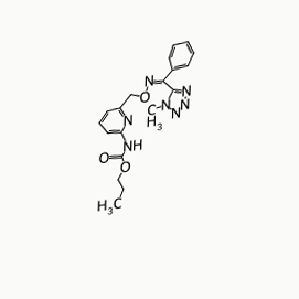 CCCOC(=O)Nc1cccc(CON=C(c2ccccc2)c2nnnn2C)n1